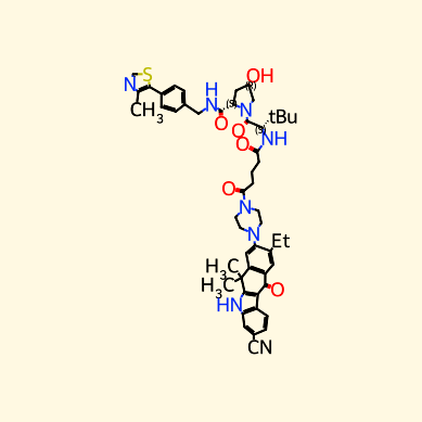 CCc1cc2c(cc1N1CCN(C(=O)CCCC(=O)N[C@H](C(=O)N3C[C@H](O)C[C@H]3C(=O)NCc3ccc(-c4scnc4C)cc3)C(C)(C)C)CC1)C(C)(C)c1[nH]c3cc(C#N)ccc3c1C2=O